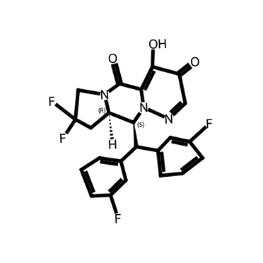 O=C1c2c(O)c(=O)cnn2[C@@H](C(c2cccc(F)c2)c2cccc(F)c2)[C@H]2CC(F)(F)CN12